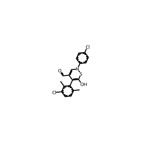 Cc1ccc(Cl)c(C)c1C1=C(O)SN(c2ccc(Cl)cc2)C=C1C=O